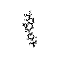 COC(=O)c1ccc(C=Nc2ccc(C(F)(F)F)cc2)c([N+](=O)[O-])c1